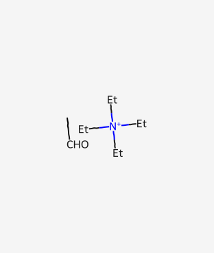 CC=O.CC[N+](CC)(CC)CC